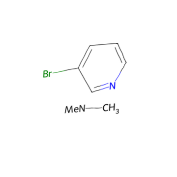 Brc1cccnc1.CNC